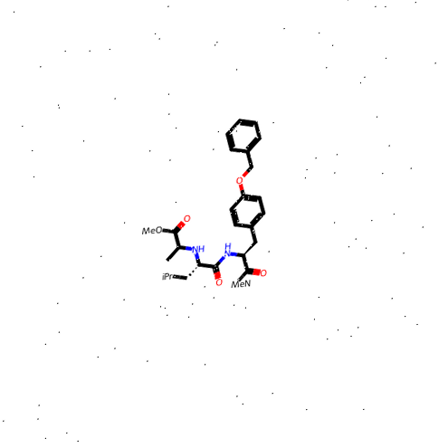 CNC(=O)[C@H](Cc1ccc(OCc2ccccc2)cc1)NC(=O)[C@H](CC(C)C)NC(C)C(=O)OC